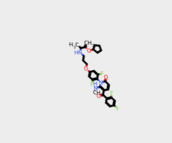 C=C(OC1CCCC1)C(C)NCCCOc1cc(F)c(-n2c(NC)c(C(=O)c3ccc(F)cc3F)ccc2=O)c(F)c1